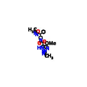 COc1cnc(-n2cc(C)nn2)c2[nH]cc(C(=O)C(=O)N3CCC(=C(c4ccccc4)c4nnc(C)o4)CC3)c12